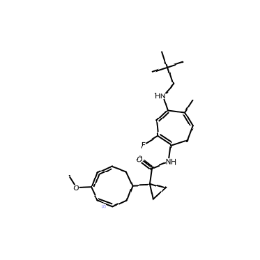 COC1=C=CCC(C2(C(=O)NC3=C(F)C=C(NCC(C)(C)C)C(C)=CC3)CC2)C/C=C\1